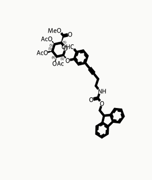 COC(=O)[C@H]1O[C@@H](Oc2cc(C#CCCNC(=O)OCC3c4ccccc4-c4ccccc43)ccc2C=O)[C@H](OC(C)=O)[C@@H](OC(C)=O)[C@@H]1OC(C)=O